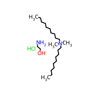 CCCCCCCCCC[N+](C)(C)CCCCCCCCCC.Cl.NCCO